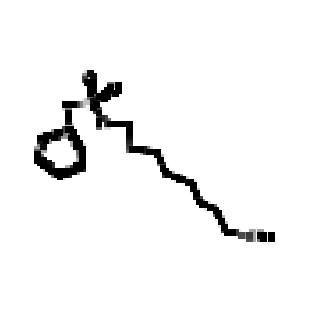 CCCCCCCCCCCCCCCCCCOS(=O)(=O)Cc1ccccc1